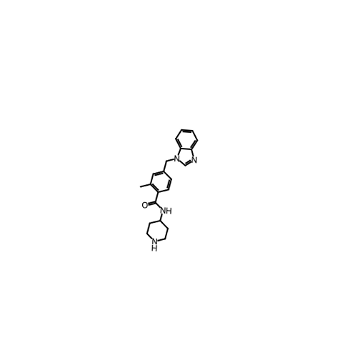 Cc1cc(Cn2cnc3ccccc32)ccc1C(=O)NC1CCNCC1